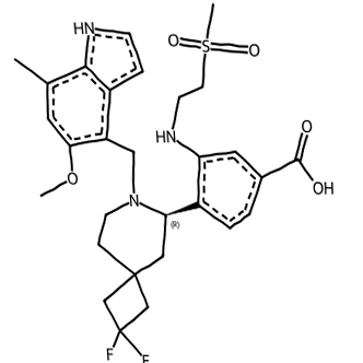 COc1cc(C)c2[nH]ccc2c1CN1CCC2(C[C@@H]1c1ccc(C(=O)O)cc1NCCS(C)(=O)=O)CC(F)(F)C2